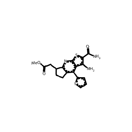 COC(=O)CC1CCc2c1nc1sc(C(N)=O)c(N)c1c2-c1cccs1